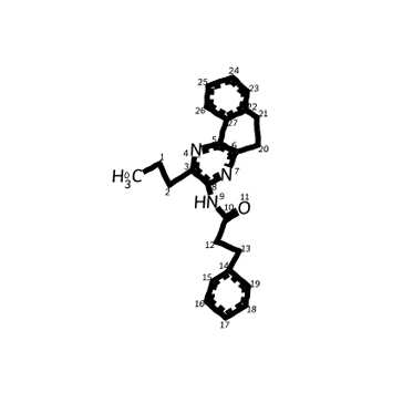 CCCc1nc2c(nc1NC(=O)CCc1ccccc1)CCc1ccccc1-2